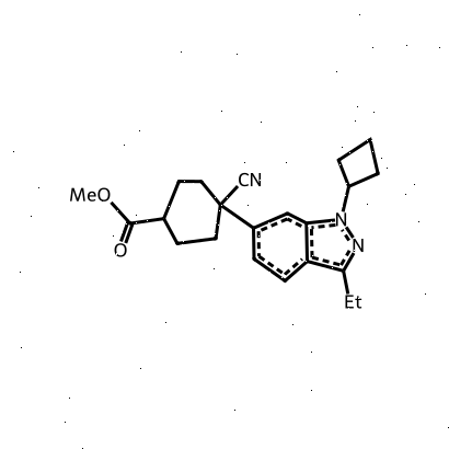 CCc1nn(C2CCC2)c2cc(C3(C#N)CCC(C(=O)OC)CC3)ccc12